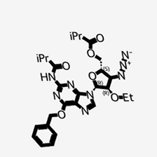 CCO[C@@H]1C(N=[N+]=[N-])[C@@H](COC(=O)C(C)C)O[C@H]1n1cnc2c(OCc3ccccc3)nc(NC(=O)C(C)C)nc21